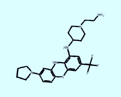 NCCN1CCC(Nc2cc(C(F)(F)F)cc3c2Nc2cc(N4CCCC4)ccc2S3)CC1